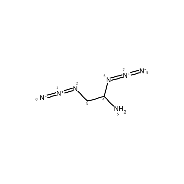 [N-]=[N+]=NCC(N)N=[N+]=[N-]